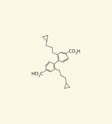 O=C(O)c1ccc(-c2ccc(C(=O)O)cc2CCCC2CC2)c(CCCC2CC2)c1